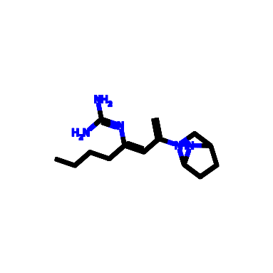 C=C(/C=C(/CCCC)N=C(N)N)N1CC2CCC1N2